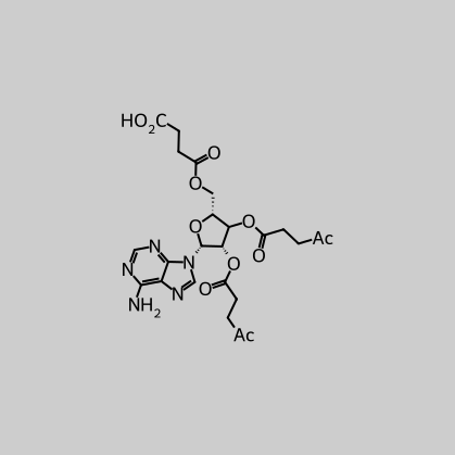 CC(=O)CCC(=O)OC1[C@@H](COC(=O)CCC(=O)O)O[C@@H](n2cnc3c(N)ncnc32)[C@H]1OC(=O)CCC(C)=O